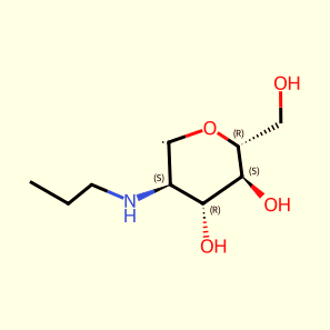 CCCN[C@H]1[CH]O[C@H](CO)[C@@H](O)[C@@H]1O